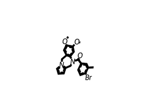 COc1cc2c(cc1OC)N(C(=O)c1ccc(Br)c(C)c1)Cc1cccn1C2